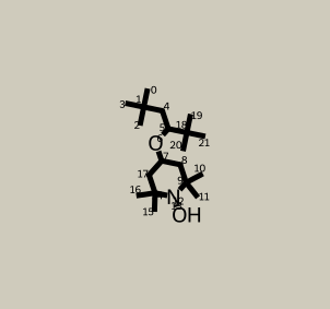 CC(C)(C)CC(OC1CC(C)(C)N(O)C(C)(C)C1)C(C)(C)C